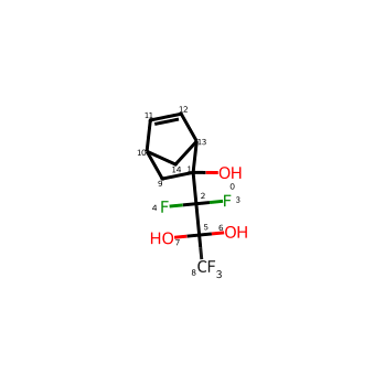 OC1(C(F)(F)C(O)(O)C(F)(F)F)CC2C=CC1C2